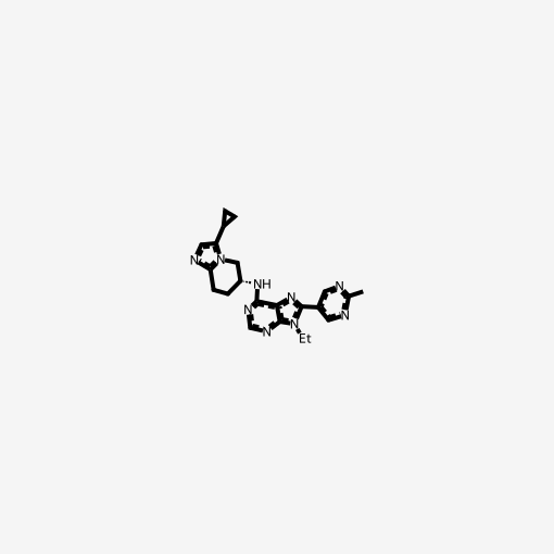 CCn1c(-c2cnc(C)nc2)nc2c(N[C@@H]3CCc4ncc(C5CC5)n4C3)ncnc21